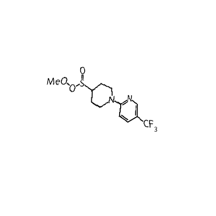 COOS(=O)C1CCN(c2ccc(C(F)(F)F)cn2)CC1